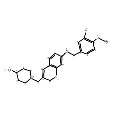 CC(C)Oc1ccc(COc2ccc3c(c2)OCC(CN2CCC(C(=O)O)CC2)=C3)cc1Cl